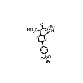 C#Cc1nc(-c2ccc(S(=O)(=O)C(C)C)cc2)cnc1N(C(=O)O)C(=O)OC(C)(C)C